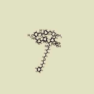 Cc1ccc(NC(=O)c2ccc(CN3CC[N+](C)(Cc4ccc(C(O)CNCCCCCCOCCCCc5ccccc5)cc4OP(=O)(O)O)CC3)cc2)cc1Nc1nccc(-c2cccnc2)n1